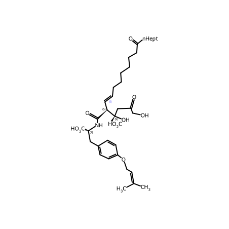 CCCCCCCC(=O)CCCCCC/C=C/[C@H](C(=O)N[C@@H](Cc1ccc(OCC=C(C)C)cc1)C(=O)O)[C@@](O)(CC(=O)CO)C(=O)O